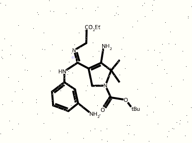 CCOC(=O)C/N=C(/Nc1cccc(N)c1)C1=C(N)C(C)(C)N(C(=O)OC(C)(C)C)C1